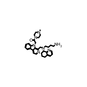 CN1CCN(C(=O)Cn2c3ccccc3c3ccnc(CN(CCCCN)[C@H]4CCCc5cccnc54)c32)CC1